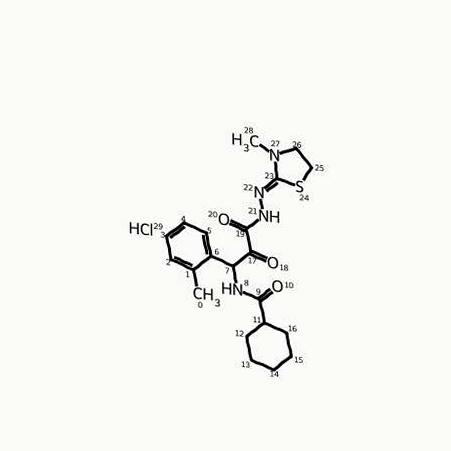 Cc1ccccc1C(NC(=O)C1CCCCC1)C(=O)C(=O)NN=C1SCCN1C.Cl